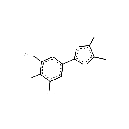 CCCCc1[nH]c(-c2cc(OC)c(O)c(OC)c2)nc1C